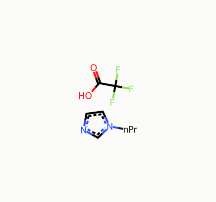 CCCn1ccnc1.O=C(O)C(F)(F)F